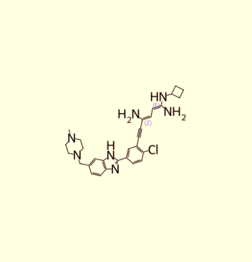 CN1CCN(Cc2ccc3nc(-c4ccc(Cl)c(C#C/C(N)=C/C=C(\N)NC5CCC5)c4)[nH]c3c2)CC1